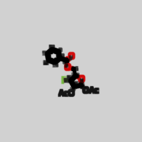 CC(=O)OC1O[C@H](COC(=O)c2ccccc2)[C@@H](F)[C@H]1OC(C)=O